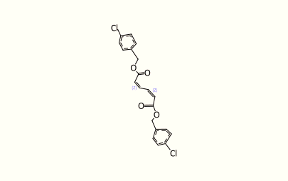 O=C(/C=C\C=C/C(=O)OCc1ccc(Cl)cc1)OCc1ccc(Cl)cc1